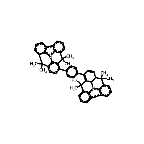 CC1(C)C2=C(c3ccc(-c4ccc5c6c4C(C)(C)c4cccc7c8cccc(c8n-6c47)C5(C)C)cc3)C=CC3C2n2c4c1cccc4c1cccc(c12)C3(C)C